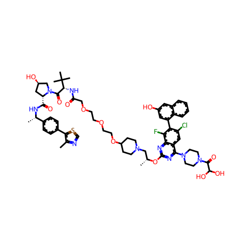 Cc1ncsc1-c1ccc([C@H](C)NC(=O)[C@@H]2C[C@@H](O)CN2C(=O)[C@@H](NC(=O)COCCOCCOC2CCN(C[C@@H](C)Oc3nc(N4CCN(C(=O)C(O)O)CC4)c4cc(Cl)c(-c5cc(O)cc6ccccc56)c(F)c4n3)CC2)C(C)(C)C)cc1